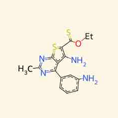 CCOC(=S)c1sc2nc(C)nc(-c3cccc(N)c3)c2c1N